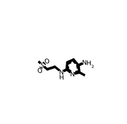 Cc1nc(NCCS(C)(=O)=O)ccc1N